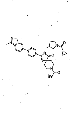 CC(C)C(=O)N1CCC2(CC1)N=C(c1ccc(-c3ccc4c(cnn4C)c3)cc1)N(CC1CCN(C(=O)C3CC3)C1)C2=O